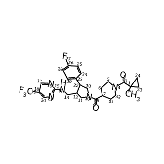 CC1(C(=O)N2CCC(C(=O)N3CC(CNc4ncc(C(F)(F)F)cn4)C(c4ccc(F)cc4)C3)CC2)CC1